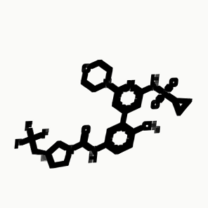 Cc1ccc(NC(=O)N2CC[C@@H](CC(F)(F)F)C2)cc1-c1cc(NS(=O)(=O)C2CC2)nc(N2CCOCC2)c1